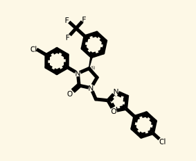 O=C1N(Cc2ncc(-c3ccc(Cl)cc3)o2)C[C@H](c2cccc(C(F)(F)F)c2)N1c1ccc(Cl)cc1